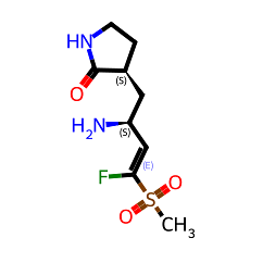 CS(=O)(=O)/C(F)=C/[C@@H](N)C[C@@H]1CCNC1=O